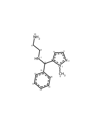 Cn1nccc1C(NCCN)c1ccccc1